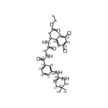 CCOC(=O)CC(NC(=O)CNC(=O)c1cccc(NC2=NCC(C)(C)CN2)c1)c1cc(Cl)cc(Cl)c1